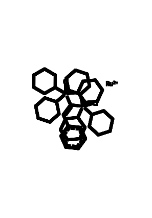 ClP(C(=Cc1ccccc1)P(Cl)(C1CCCCC1)(C1CCCCC1)C1CCCCC1)(C1CCCCC1)(C1CCCCC1)C1CCCCC1.[Ru+2]